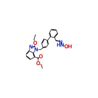 CCOC(=O)c1cccc2nc(OCC)n(Cc3ccc(-c4ccccc4C=NNO)cc3)c12